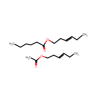 CCC=CCCOC(=O)CCCCC.CCC=CCCOC(C)=O